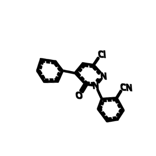 N#Cc1ccccc1-n1nc(Cl)cc(-c2ccccc2)c1=O